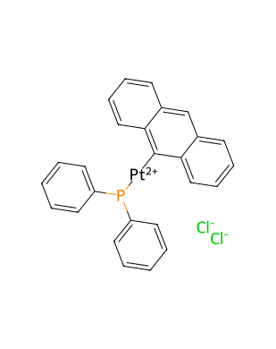 [Cl-].[Cl-].c1ccc([P]([Pt+2][c]2c3ccccc3cc3ccccc23)c2ccccc2)cc1